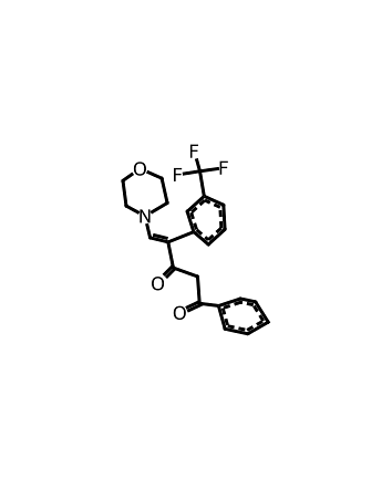 O=C(CC(=O)c1ccccc1)/C(=C/N1CCOCC1)c1cccc(C(F)(F)F)c1